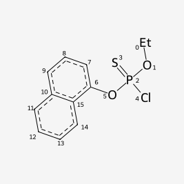 CCOP(=S)(Cl)Oc1cccc2ccccc12